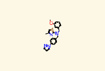 COc1cccc(CN(Cc2ccc(-n3cccn3)cc2)c2nc(C)cs2)c1